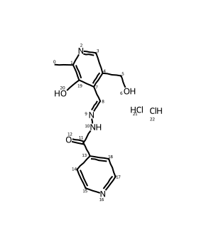 Cc1ncc(CO)c(C=NNC(=O)c2ccncc2)c1O.Cl.Cl